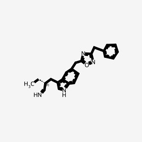 CC[C@@H](C=N)Cc1c[nH]c2ccc(Cc3nc(Cc4ccccc4)no3)cc12